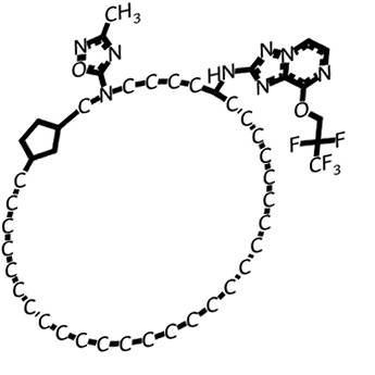 Cc1noc(N2CCCCC(Nc3nc4c(OCC(F)(F)C(F)(F)F)nccn4n3)CCCCCCCCCCCCCCCCCCCCCCCCCCC3CCC(C3)C2)n1